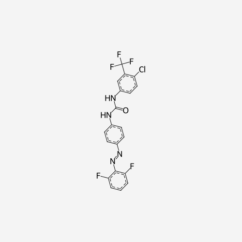 O=C(Nc1ccc(N=Nc2c(F)cccc2F)cc1)Nc1ccc(Cl)c(C(F)(F)F)c1